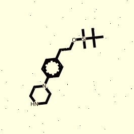 CC(C)(C)[Si](C)(C)OCCc1ccc(N2CCNCC2)cc1